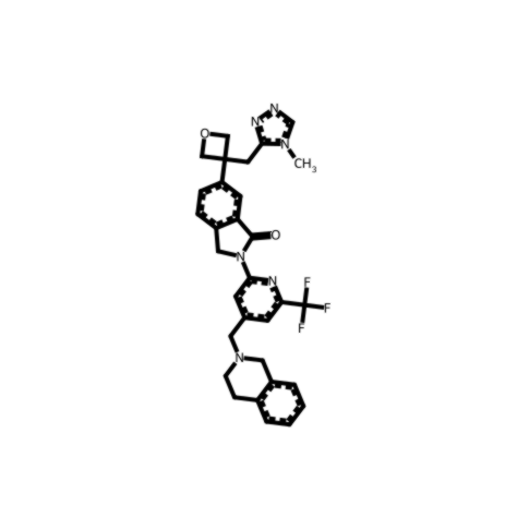 Cn1cnnc1CC1(c2ccc3c(c2)C(=O)N(c2cc(CN4CCc5ccccc5C4)cc(C(F)(F)F)n2)C3)COC1